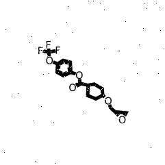 O=C(Oc1ccc(OC(F)(F)F)cc1)C1CCC(OCC2CO2)CC1